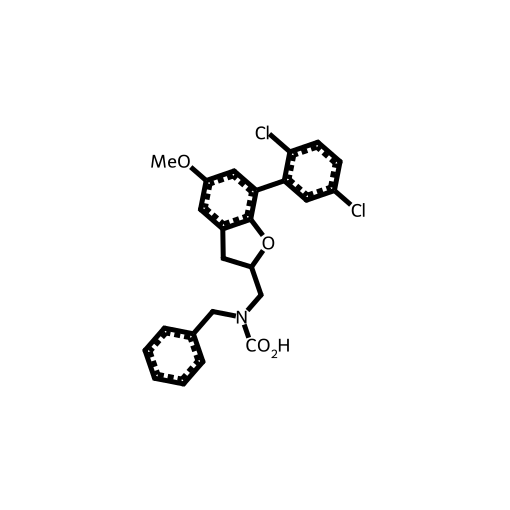 COc1cc2c(c(-c3cc(Cl)ccc3Cl)c1)OC(CN(Cc1ccccc1)C(=O)O)C2